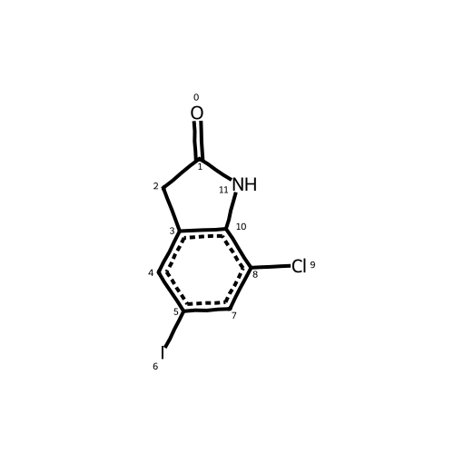 O=C1Cc2cc(I)cc(Cl)c2N1